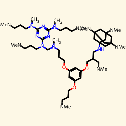 CNCCCOc1cc(OCCCN(C)CN(CCCNC)c2nc(N(C)CCCNC)nc(N(C)CCCNC)n2)cc(OCC(CNC)CNC23CC4(NC)CC(NC)(CC(NC)(C4)C2)C3)c1